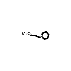 COCCCN1CCCCC1